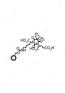 CC1(C)C(=O)N(C(CCC(=O)O)C(=O)O)C(=O)N([C@@H](CCCCNC(=O)OCc2ccccc2)C(=O)O)C1=O